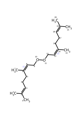 CC(C)=CCC/C(C)=C\COOC/C=C(/C)CCC=C(C)C